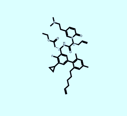 C=CCCCCc1cc(C)cc(C)c1-c1cc(C2CC2)c(F)c([C@H](CC(=O)OCC)NC(=O)[C@H](CC=C)n2cc(CCN(C)C)ccc2=O)c1